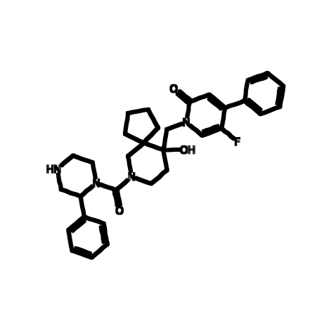 O=C(N1CCC(O)(Cn2cc(F)c(-c3ccccc3)cc2=O)C2(CCCC2)C1)N1CCNCC1c1ccccc1